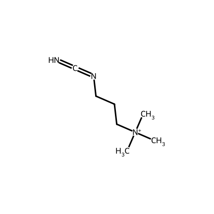 C[N+](C)(C)CCCN=C=N